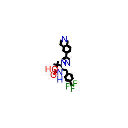 CC(C)(C)[C@H](C(Cc1ccc(C(F)(F)F)cc1)NC(=O)O)n1cc(-c2ccc3cnccc3c2)cn1